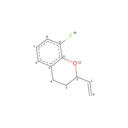 C=CC1CCc2cccc(F)c2O1